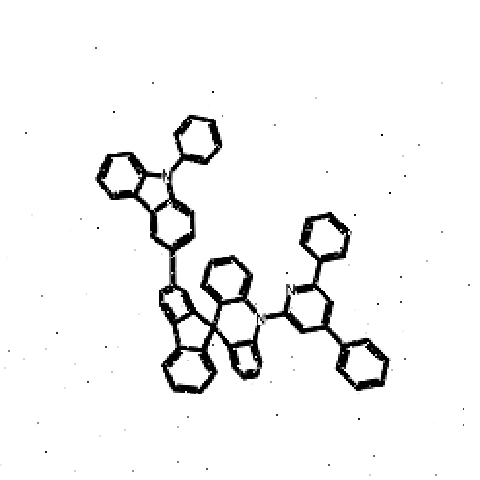 c1ccc(-c2cc(-c3ccccc3)nc(N3c4ccccc4C4(c5ccccc5-c5ccc(-c6ccc7c(c6)c6ccccc6n7-c6ccccc6)cc54)c4ccccc43)c2)cc1